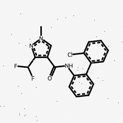 Cn1cc(C(=O)Nc2ccccc2-c2ccccc2Cl)c(C(F)F)n1